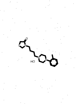 Cc1ccccc1N1CCN(CCCCN2CSCC2=O)CC1.Cl